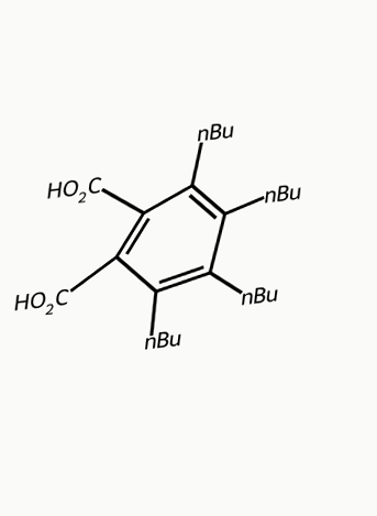 CCCCc1c(CCCC)c(CCCC)c(C(=O)O)c(C(=O)O)c1CCCC